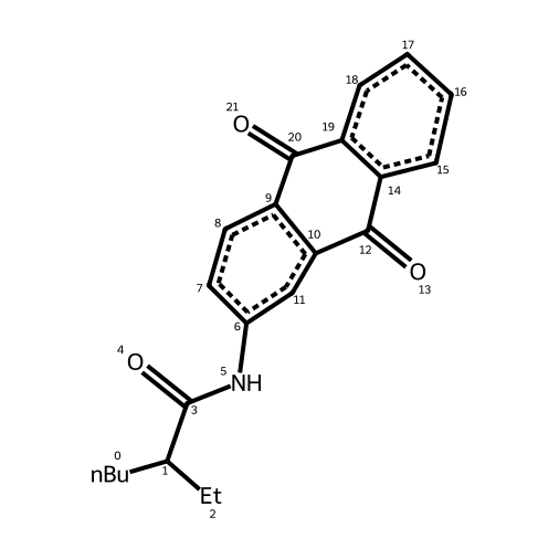 CCCCC(CC)C(=O)Nc1ccc2c(c1)C(=O)c1ccccc1C2=O